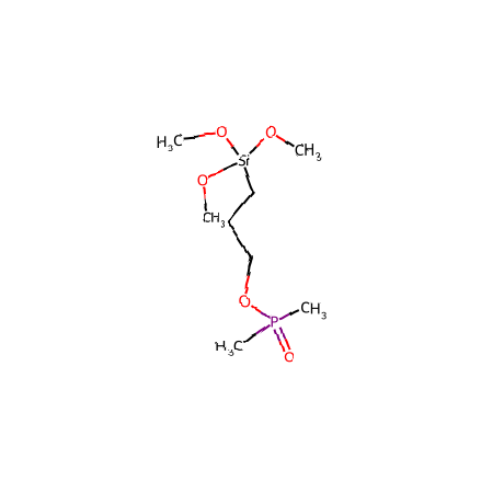 CO[Si](CCCOP(C)(C)=O)(OC)OC